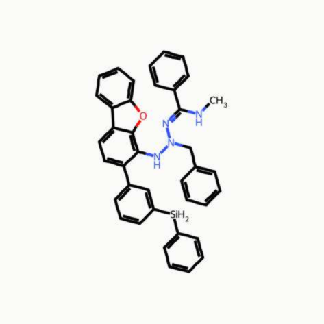 CN/C(=N\N(Cc1ccccc1)Nc1c(-c2cccc([SiH2]c3ccccc3)c2)ccc2c1oc1ccccc12)c1ccccc1